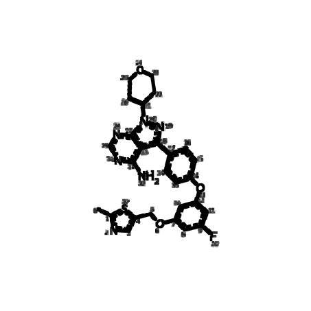 Cc1ncc(COc2cc(F)cc(Oc3ccc(-c4nn(C5CCOCC5)c5ncnc(N)c45)cc3)c2)s1